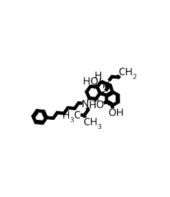 C=CCN1CC[C@]23c4c5ccc(O)c4O[C@H]2[C@H](N(CCCCCCc2ccccc2)CC(C)C)CC[C@@]3(O)[C@H]1C5